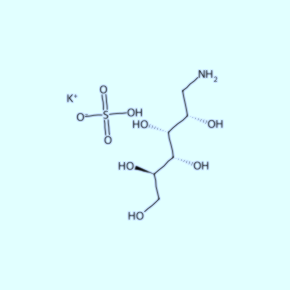 NC[C@H](O)[C@@H](O)[C@H](O)[C@H](O)CO.O=S(=O)([O-])O.[K+]